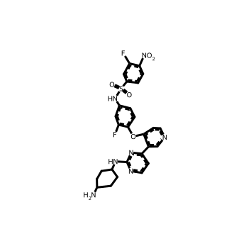 NC1CCC(Nc2nccc(-c3cnccc3Oc3ccc(NS(=O)(=O)c4ccc([N+](=O)[O-])c(F)c4)cc3F)n2)CC1